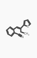 CC/C(=C\c1ccccc1C#N)c1cccs1